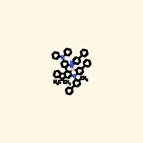 Cc1ccc(-c2ccccc2)cc1N1c2ccc(-c3ccccc3)cc2Bc2c1cc1c(c2-c2ccc(N(c3ccccc3)c3ccccc3)cc2Nc2ccc(-c3ccccc3)cc2)-c2ccccc2C1(C)C